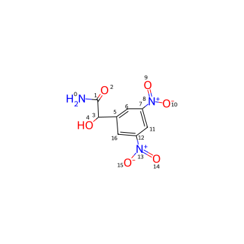 NC(=O)C(O)c1cc([N+](=O)[O-])cc([N+](=O)[O-])c1